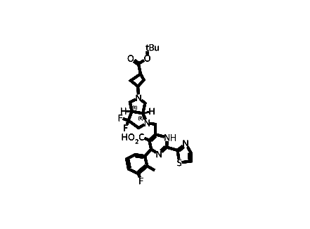 Cc1c(F)cccc1C1N=C(c2nccs2)NC(CN2CC(F)(F)[C@@H]3CN(C4CC(C(=O)OC(C)(C)C)C4)C[C@@H]32)=C1C(=O)O